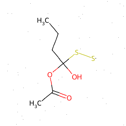 CCCC(O)(OC(C)=O)S[S]